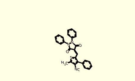 [C-]#[N+]c1c(C)sc(C=C2C(=O)N(c3ccccc3)N(c3ccccc3)C2=O)c1-c1ccccc1